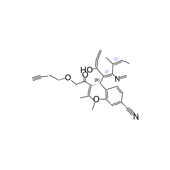 C#CCCOCC(=O)C(=C(C)C)[C@H](/C(C(O)=C=C)=C(N=C)/C(C)=C\C)c1ccc(C#N)cc1OC